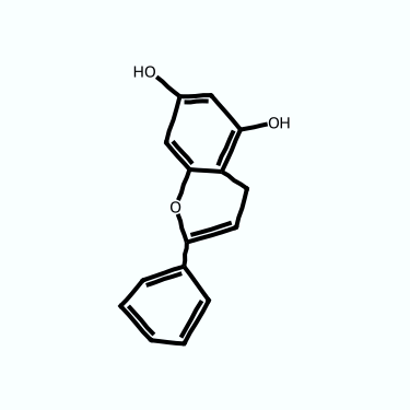 Oc1cc(O)c2c(c1)OC(c1ccccc1)=CC2